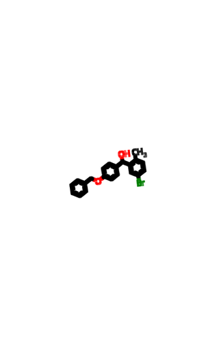 Cc1ccc(Br)cc1C(O)c1ccc(OCc2ccccc2)cc1